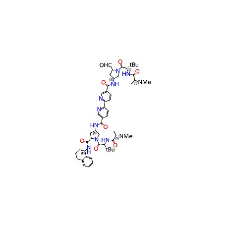 CN[C@@H](C)C(=O)NC(C(=O)N1C[C@@H](NC(=O)c2ccc(-c3ccc(C(=O)N[C@H]4CC(C=O)N(C(=O)[C@@H](NC(=O)[C@H](C)NC)C(C)(C)C)C4)cn3)nc2)CC1C(=O)N[C@@H]1CCCc2ccccc21)C(C)(C)C